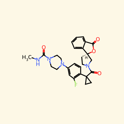 CNC(=O)N1CCN(c2ccc(C3(C(=O)N4CC[C@@]5(C4)OC(=O)c4ccccc45)CC3)c(F)c2)CC1